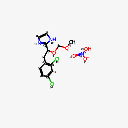 COCOC(Cc1ccc(Cl)cc1Cl)c1ncc[nH]1.O=[N+]([O-])O